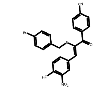 N#Cc1ccc(C(=O)C(=Cc2ccc(O)c([N+](=O)[O-])c2)SCc2ccc(Br)cc2)cc1